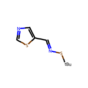 CC(C)(C)SN=Cc1cncs1